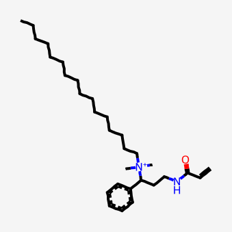 C=CC(=O)NCCC(c1ccccc1)[N+](C)(C)CCCCCCCCCCCCCCCC